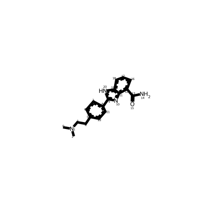 CN(C)CCc1ccc(-c2nc3c(C(N)=O)cccc3[nH]2)cc1